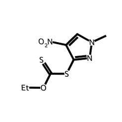 CCOC(=S)Sc1nn(C)cc1[N+](=O)[O-]